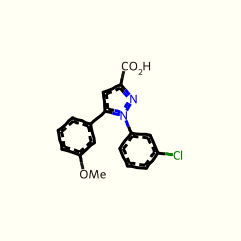 COc1cccc(-c2cc(C(=O)O)nn2-c2cccc(Cl)c2)c1